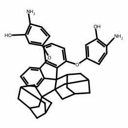 Nc1ccc(Oc2ccccc2C2(c3ccccc3Oc3ccc(N)c(O)c3)C3CC4CC(C3)CC2(C23CC5CC(CC(C5)C2)C3)C4)cc1O